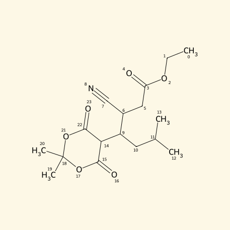 CCOC(=O)CC(C#N)C(CC(C)C)C1C(=O)OC(C)(C)OC1=O